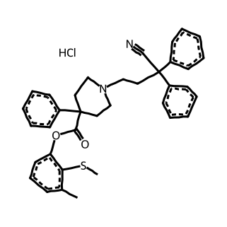 CSc1c(C)cccc1OC(=O)C1(c2ccccc2)CCN(CCC(C#N)(c2ccccc2)c2ccccc2)CC1.Cl